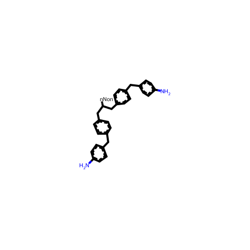 CCCCCCCCCC(Cc1ccc(Cc2ccc(N)cc2)cc1)Cc1ccc(Cc2ccc(N)cc2)cc1